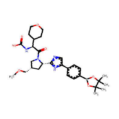 COC[C@H]1C[C@@H](c2ncc(-c3ccc(B4OC(C)(C)C(C)(C)O4)cc3)[nH]2)N(C(=O)[C@@H](NC(=O)O)C2CCOCC2)C1